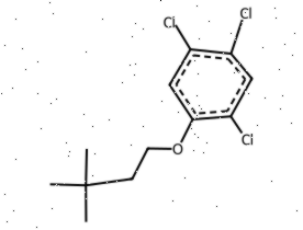 CC(C)(C)CCOc1cc(Cl)c(Cl)cc1Cl